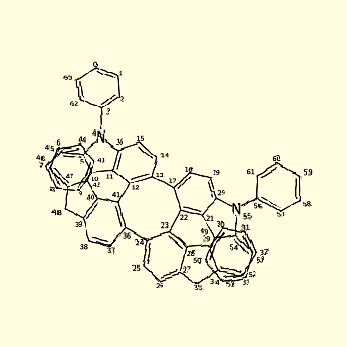 c1ccc(-n2c3ccccc3c3c4c(ccc32)-c2ccc3c(c2-c2c(ccc5c2-c2ccccc2C5)-c2ccc5c(c2-4)-c2ccccc2C5)c2ccccc2n3-c2ccccc2)cc1